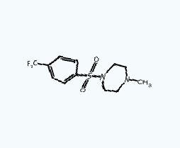 CN1CCN(S(=O)(=O)c2ccc(C(F)(F)F)cc2)CC1